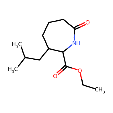 CCOC(=O)C1NC(=O)CCCC1CC(C)C